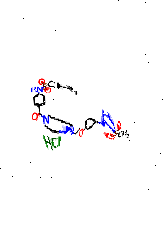 CS(=O)(=O)Nc1ccc(OCCN2CCN(C(=O)c3ccc(NS(C)(=O)=O)cc3)CC2)cc1.Cl